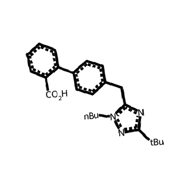 CCCCn1nc(C(C)(C)C)nc1Cc1ccc(-c2ccccc2C(=O)O)cc1